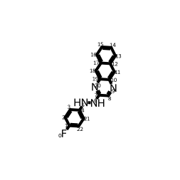 Fc1ccc(NNc2cnc3cc4ccccc4cc3n2)cc1